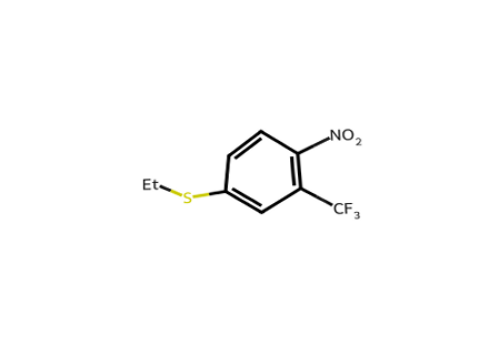 CCSc1ccc([N+](=O)[O-])c(C(F)(F)F)c1